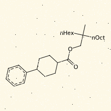 CCCCCCCCC(C)(CCCCCC)COC(=O)C1CCC(c2ccccc2)CC1